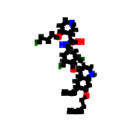 CNCCOc1cc2nccc(Oc3c(F)cc(NC(O)c4cnccc4OCCCF)cc3F)c2cc1OC